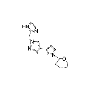 c1c[nH]c(Cn2cc(-c3ccn(C4CCCCO4)c3)nn2)n1